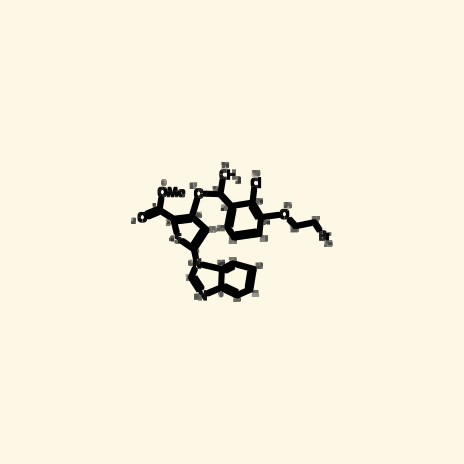 COC(=O)c1sc(-n2cnc3ccccc32)cc1OC(C)c1cccc(OCCBr)c1Cl